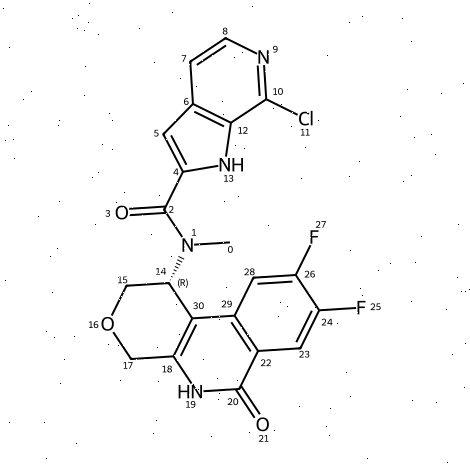 CN(C(=O)c1cc2ccnc(Cl)c2[nH]1)[C@H]1COCc2[nH]c(=O)c3cc(F)c(F)cc3c21